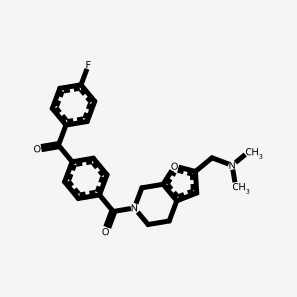 CN(C)Cc1cc2c(o1)CN(C(=O)c1ccc(C(=O)c3ccc(F)cc3)cc1)CC2